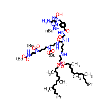 CCCCNc1nc(N)c2nc(O)n(Cc3ccc(C(=O)NCC(=O)N[C@@H](CCCCNCCCP(=O)(OCCC(C)CCCC(C)CCCC(C)CCCC(C)C)OCCC(C)CCCC(C)CCCC(C)CCCC(C)C)C(=O)NCCCN(CCCCN(CCCNC(=O)OC(C)(C)C)C(=O)OC(C)(C)C)C(=O)OC(C)(C)C)cc3)c2n1